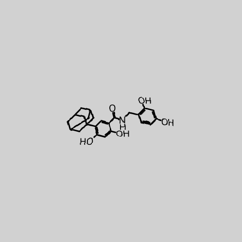 O=C(NCc1ccc(O)cc1O)c1cc(C23CC4CC(CC(C4)C2)C3)c(O)cc1O